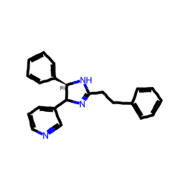 c1ccc(CCC2=NC(c3cccnc3)[C@@H](c3ccccc3)N2)cc1